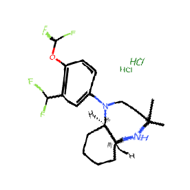 CC1(C)CN(c2ccc(OC(F)F)c(C(F)F)c2)[C@@H]2CCCC[C@H]2N1.Cl.Cl